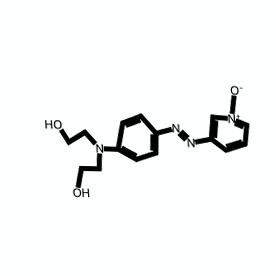 [O-][n+]1cccc(N=Nc2ccc(N(CCO)CCO)cc2)c1